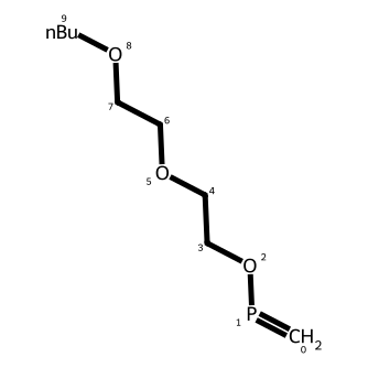 C=POCCOCCOCCCC